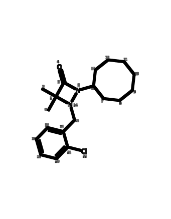 CC1(C)C(=O)N(C2CCCCCCC2)N1Cc1ccccc1Cl